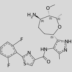 CO[C@H]1[C@H](N)CC[C@@H](c2[nH]nc(C)c2NC(=O)c2csc(-c3c(F)cccc3F)n2)O[C@H]1C